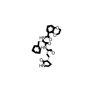 O=C[C@H](CC[C@@H]1CCNC1=O)NC(=O)[C@H](Cc1ccccc1)NC(=O)c1cccc2c1OCCO2